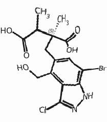 CC(C(=O)O)[C@](C)(Cc1cc(Br)c2[nH]nc(Cl)c2c1CO)C(=O)O